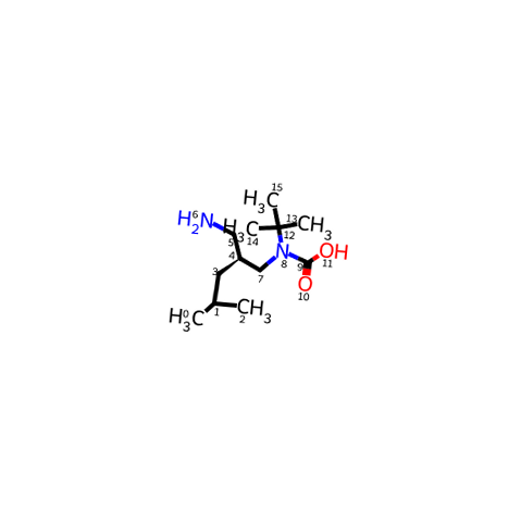 CC(C)C[C@@H](CN)CN(C(=O)O)C(C)(C)C